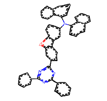 c1ccc(-c2nc(-c3ccccc3)nc(-c3ccc4c(c3)oc3ccc(N(c5cccc6ccccc56)c5cccc6ccccc56)cc34)n2)cc1